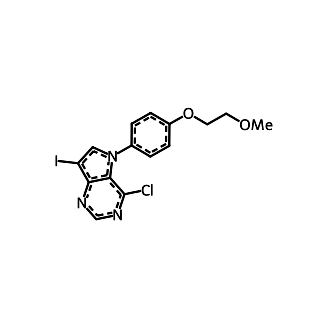 COCCOc1ccc(-n2cc(I)c3ncnc(Cl)c32)cc1